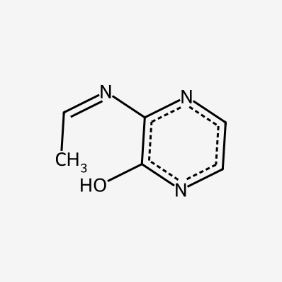 C/C=N\c1nccnc1O